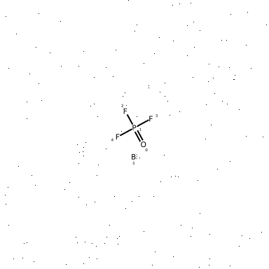 O=P(F)(F)F.[B]